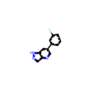 Fc1cccc(-c2cnc3cn[nH]c3c2)c1